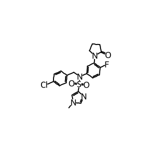 Cn1cnc(S(=O)(=O)N(Cc2ccc(Cl)cc2)c2ccc(F)c(N3CCCC3=O)c2)c1